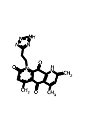 C=C1C=C(C)C2=C(N1)C(=O)c1c(c(C)cc(=O)n1CCc1nn[nH]n1)C2=O